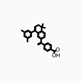 C=C(c1ccc(C(=O)O)cc1)c1ccc2c(c1)C(c1cc(C)cc(C)c1)=CCC2(C)C